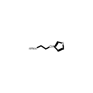 CCCCCCCCOC(C)=O.c1ccsc1